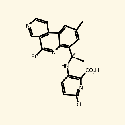 CCc1nc2c([C@@H](C)Nc3ccc(Cl)nc3C(=O)O)cc(C)cc2c2ccncc12